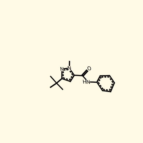 Cn1nc(C(C)(C)C)cc1C(=O)Nc1ccccc1